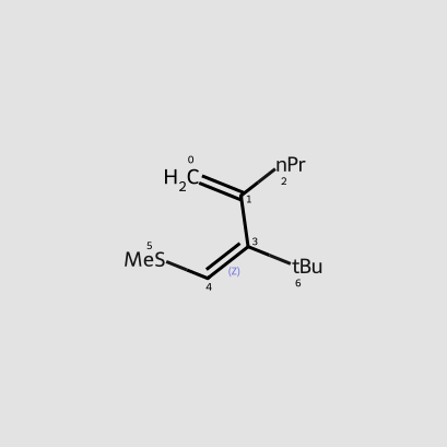 C=C(CCC)/C(=C\SC)C(C)(C)C